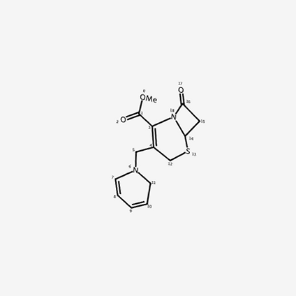 COC(=O)C1=C(CN2C=CC=CC2)CSC2CC(=O)N12